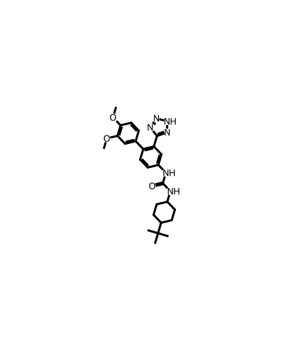 COc1ccc(-c2ccc(NC(=O)NC3CCC(C(C)(C)C)CC3)cc2-c2nn[nH]n2)cc1OC